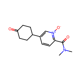 CN(C)C(=O)c1ccc(C2CCC(=O)CC2)c[n+]1[O-]